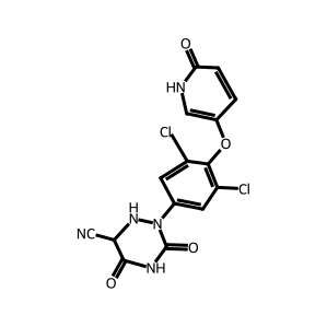 N#CC1NN(c2cc(Cl)c(Oc3ccc(=O)[nH]c3)c(Cl)c2)C(=O)NC1=O